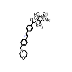 CNC(=O)[C@@](C)(C(=O)NO)N(C)C(=O)c1ccc(/C=C/c2ccc(CN3CCCOCC3)cc2)cc1